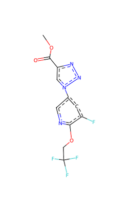 COC(=O)c1cn(-c2cnc(OCC(F)(F)F)c(F)c2)nn1